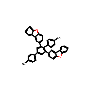 N#Cc1ccc(-c2cc(-c3ccc4oc5ccccc5c4c3)c(-c3ccc(C#N)cc3)c(-c3ccc4oc5ccccc5c4c3)c2)cc1